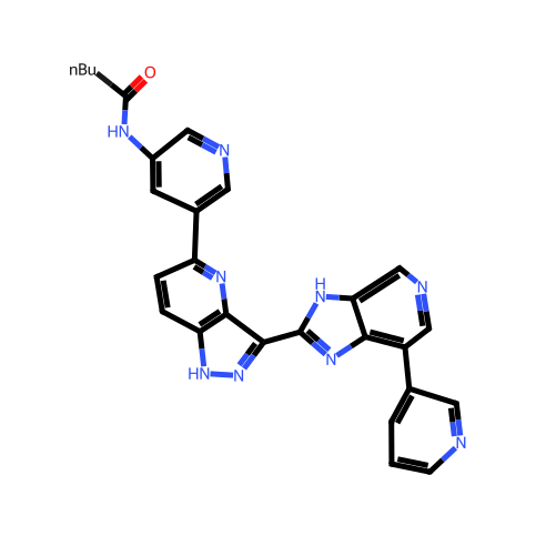 CCCCC(=O)Nc1cncc(-c2ccc3[nH]nc(-c4nc5c(-c6cccnc6)cncc5[nH]4)c3n2)c1